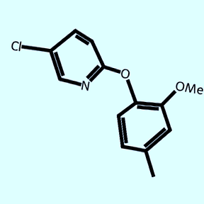 COc1cc(C)ccc1Oc1ccc(Cl)cn1